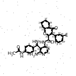 CC(=O)Nc1ccc(C(=N)c2c(N)ncnc2NC(C)c2oc3ccccc3c(=O)c2-c2cccc(F)c2)cc1